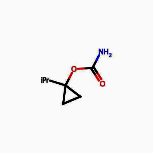 CC(C)C1(OC(N)=O)CC1